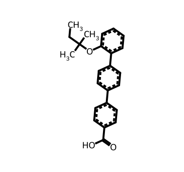 CCC(C)(C)Oc1ccccc1-c1ccc(-c2ccc(C(=O)O)cc2)cc1